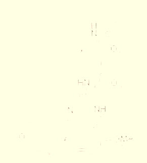 COc1ccc(C2CCOCC2)c2nc(NC(=O)C3=CNC(C)O3)[nH]c12